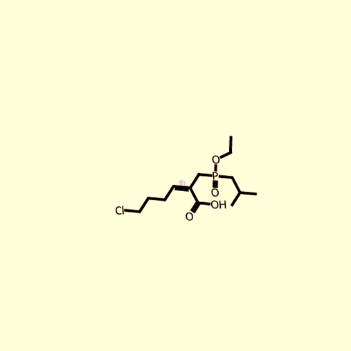 CCOP(=O)(C/C(=C/CCCCl)C(=O)O)CC(C)C